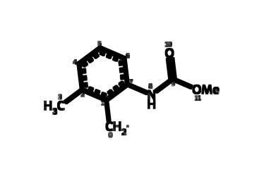 [CH2]c1c(C)cccc1NC(=O)OC